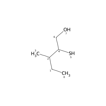 CCC(C)C(S)CO